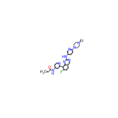 C=CC(=O)Nc1ccnc(-c2c(F)ccc3cnc(Nc4ccc(N5CCN(CC)CC5)nc4)nc23)c1